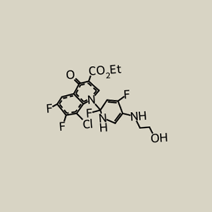 CCOC(=O)c1cn(C2(F)C=C(F)C(NCCO)=CN2)c2c(Cl)c(F)c(F)cc2c1=O